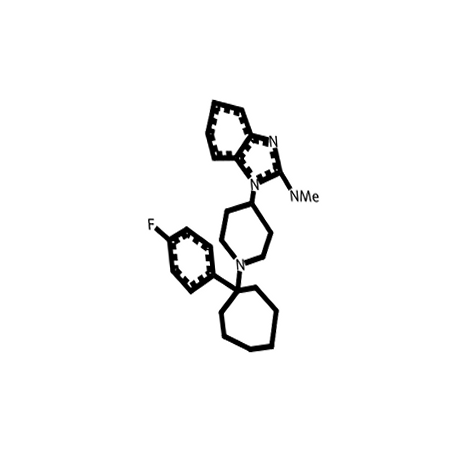 CNc1nc2ccccc2n1C1CCN(C2(c3ccc(F)cc3)CCCCCC2)CC1